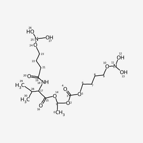 CC(OC(=O)OCCCCON(O)O)OC(=O)C(NC(=O)CCCON(O)O)C(C)C